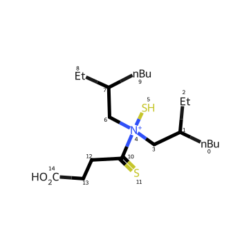 CCCCC(CC)C[N+](S)(CC(CC)CCCC)C(=S)CCC(=O)O